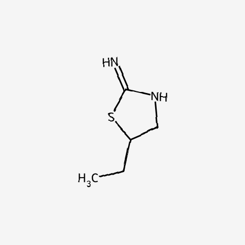 CCC1CNC(=N)S1